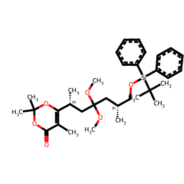 COC(C[C@@H](C)CO[Si](c1ccccc1)(c1ccccc1)C(C)(C)C)(C[C@@H](C)C1=C(C)C(=O)OC(C)(C)O1)OC